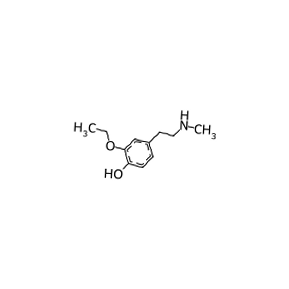 CCOc1cc(CCNC)ccc1O